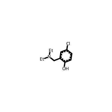 CCN(CC)Cc1cc(Cl)ccc1O